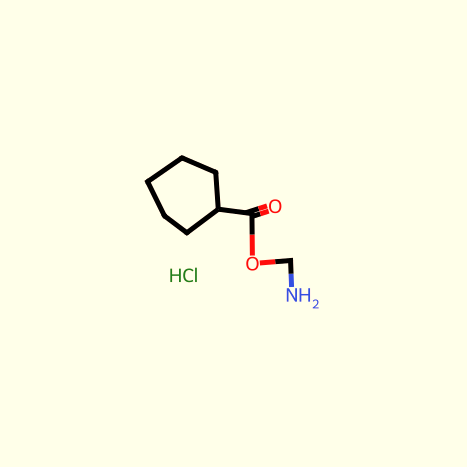 Cl.NCOC(=O)C1CCCCC1